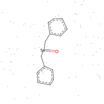 O=[Se](Cc1ccccc1)Cc1ccccc1